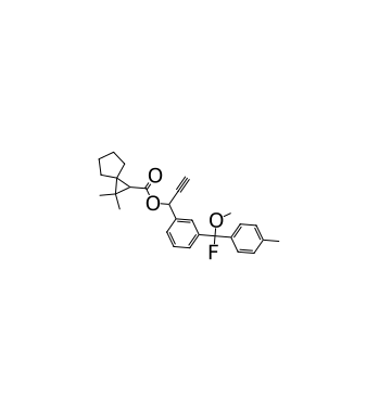 C#CC(OC(=O)C1C(C)(C)C12CCCC2)c1cccc(C(F)(OC)c2ccc(C)cc2)c1